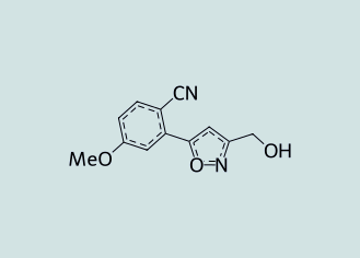 COc1ccc(C#N)c(-c2cc(CO)no2)c1